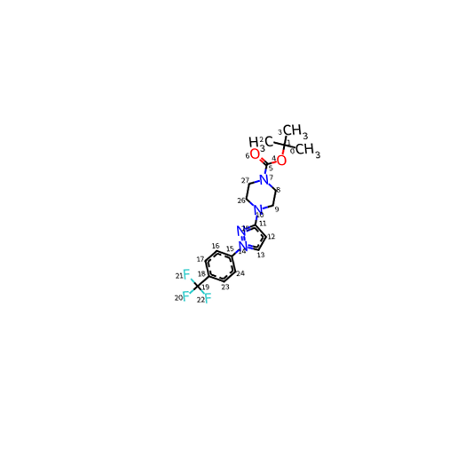 CC(C)(C)OC(=O)N1CCN(c2ccn(-c3ccc(C(F)(F)F)cc3)n2)CC1